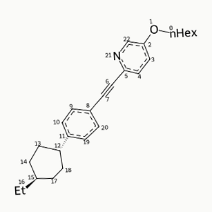 CCCCCCOc1ccc(C#Cc2ccc([C@H]3CC[C@H](CC)CC3)cc2)nc1